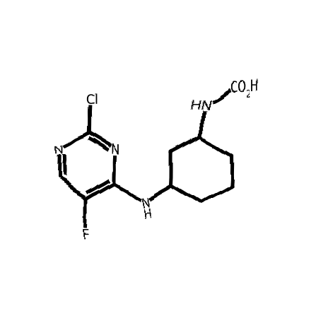 O=C(O)NC1CCCC(Nc2nc(Cl)ncc2F)C1